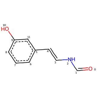 O=CNC=Cc1cccc(O)c1